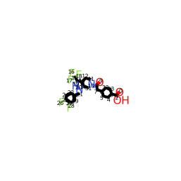 O=C(O)C1CCC(CC(=O)N2CCc3c(C(F)(F)F)nn(Cc4ccc(F)c(F)c4)c3C2)CC1